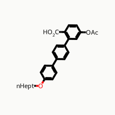 CCCCCCCOc1ccc(-c2ccc(-c3cc(OC(C)=O)ccc3C(=O)O)cc2)cc1